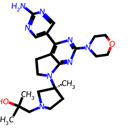 CC(C)(O)CN1CC[C@](C)(N2CCc3c(-c4cnc(N)nc4)nc(N4CCOCC4)nc32)C1